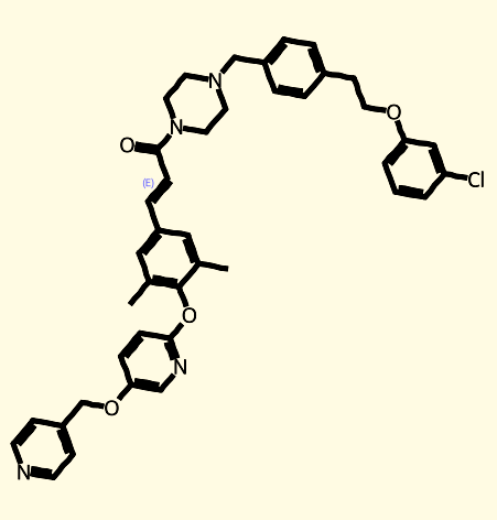 Cc1cc(/C=C/C(=O)N2CCN(Cc3ccc(CCOc4cccc(Cl)c4)cc3)CC2)cc(C)c1Oc1ccc(OCc2ccncc2)cn1